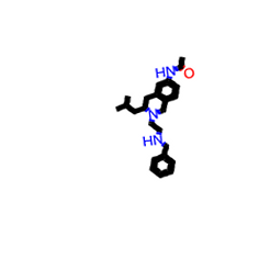 CC(=O)Nc1ccc2c(c1)CC(CC(C)C)N(CCNCc1ccccc1)C2